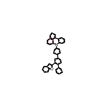 c1ccc(-c2ccc(-c3ccc(N(c4ccccc4)c4ccccc4-c4ccccc4)cc3)cc2-c2cc3ccccc3o2)cc1